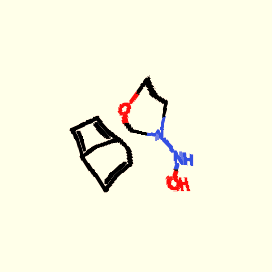 ONN1CCOC1.c1cc2ccc1-2